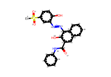 CCS(=O)(=O)c1ccc(O)c(/N=N/c2c(O)c(C(=O)Nc3ccccc3)cc3ccccc23)c1